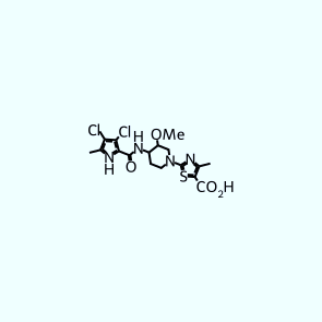 COC1CN(c2nc(C)c(C(=O)O)s2)CCC1NC(=O)c1[nH]c(C)c(Cl)c1Cl